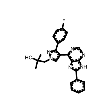 CC(C)(O)Cn1cc(-c2ncnc3[nH]c(-c4ccccc4)nc23)c(-c2ccc(F)cc2)n1